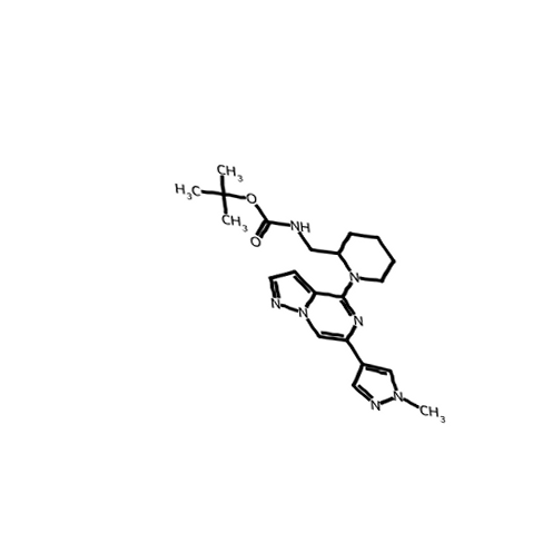 Cn1cc(-c2cn3nccc3c(N3CCCCC3CNC(=O)OC(C)(C)C)n2)cn1